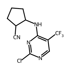 N#CC1CCCC1Nc1nc(Cl)ncc1C(F)(F)F